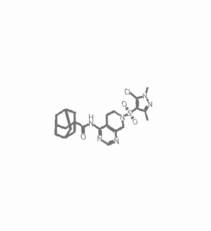 Cc1nn(C)c(Cl)c1S(=O)(=O)N1CCc2c(ncnc2NC(=O)C23CC4CC(CC(C4)C2)C3)C1